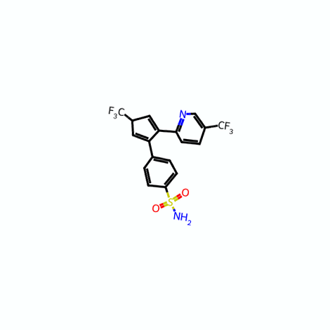 NS(=O)(=O)c1ccc(C2=CC(C(F)(F)F)C=C2c2ccc(C(F)(F)F)cn2)cc1